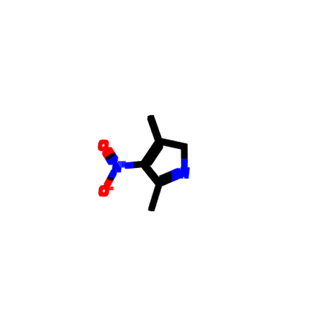 CC1=NCC(C)=C1[N+](=O)[O-]